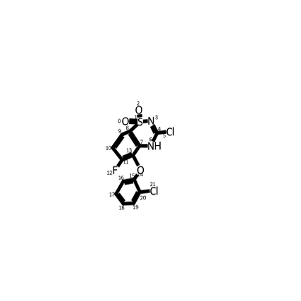 O=S1(=O)N=C(Cl)Nc2c1ccc(F)c2Oc1ccccc1Cl